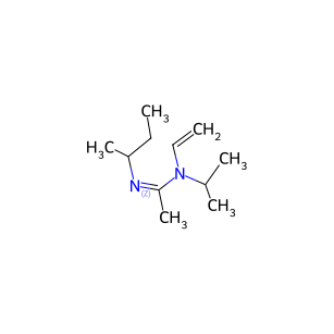 C=CN(/C(C)=N\C(C)CC)C(C)C